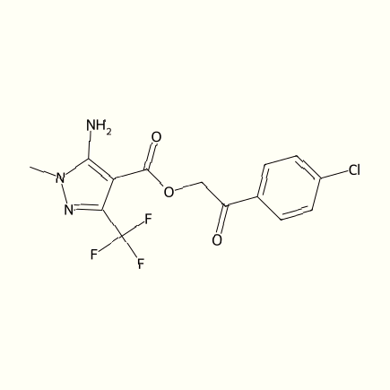 Cn1nc(C(F)(F)F)c(C(=O)OCC(=O)c2ccc(Cl)cc2)c1N